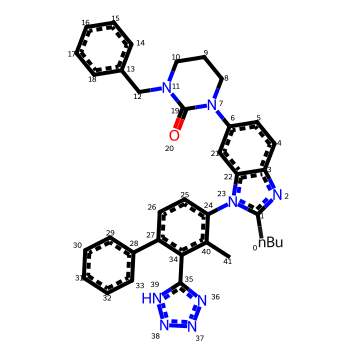 CCCCc1nc2ccc(N3CCCN(Cc4ccccc4)C3=O)cc2n1-c1ccc(-c2ccccc2)c(-c2nnn[nH]2)c1C